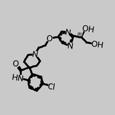 O=C1Nc2ccc(Cl)cc2C12CCN(CCOc1cnc([C@@H](O)CO)nc1)CC2